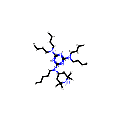 CCCCCN(c1nc(N(CCCC)CCCC)nc(N(CCCC)CCCC)n1)C1CC(C)(C)NC(C)(C)C1